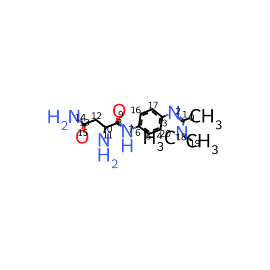 CC(=Nc1ccc(NC(=O)C(N)CC(N)=O)cc1)N(C)C